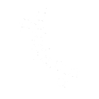 Cc1ccc(N(c2cccc(C)c2)c2ccc3cc4c(cc3c2)oc2c(C)c3oc5cc6cc(N(c7ccc(C)cc7)c7cccc(C)c7)ccc6cc5c3c(C)c24)cc1